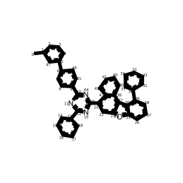 Cc1cccc(-c2ccc(-c3nc(-c4ccccc4)nc(-c4cc5oc6cccc(-c7ccccc7)c6c5c5ccccc45)n3)cc2)c1